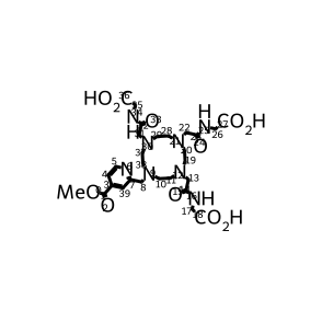 COC(=O)c1ccnc(CN2CCN(CC(=O)NCC(=O)O)CCN(CC(=O)NCC(=O)O)CCN(CC(=O)NCC(=O)O)CC2)c1